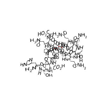 CC[C@H](C)[C@H](NC(=O)[C@H](CC(=O)O)NC(=O)[C@H](CO)NC(=O)[C@@H](N)Cc1c[nH]cn1)C(=O)N1CCC[C@H]1C(=O)N[C@@H](CC(N)=O)C(=O)NCC(=O)N[C@@H](CCC(N)=O)C(=O)N[C@H](C(=O)N[C@@H](CC(N)=O)C(=O)N[C@@H](CCC(N)=O)C(=O)NCC(=O)N[C@H](C(=O)N[C@@H](CCC(N)=O)C(=O)N[C@@H](C)C(=O)O)C(C)C)[C@@H](C)O